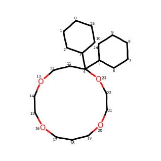 C1CCC(C2(C3CCCCC3)CCOCCOCCCOCCO2)CC1